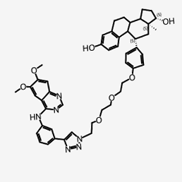 COc1cc2ncnc(Nc3cccc(-c4cn(CCOCCOCCOc5ccc([C@H]6C[C@@]7(C)C(CC[C@@H]7O)C7CCc8cc(O)ccc8C76)cc5)nn4)c3)c2cc1OC